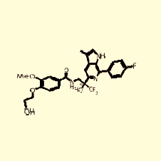 COc1cc(C(=O)NC[C@@](O)(c2cc3c(C)c[nH]c3c(-c3ccc(F)cc3)n2)C(F)(F)F)ccc1OCCO